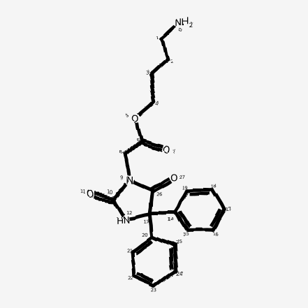 NCCCCOC(=O)CN1C(=O)NC(c2ccccc2)(c2ccccc2)C1=O